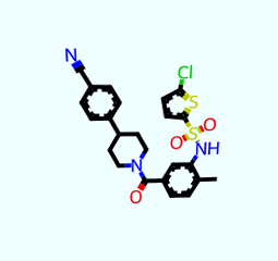 Cc1ccc(C(=O)N2CCC(c3ccc(C#N)cc3)CC2)cc1NS(=O)(=O)c1ccc(Cl)s1